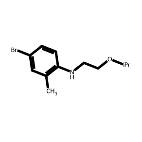 Cc1cc(Br)ccc1NCCOC(C)C